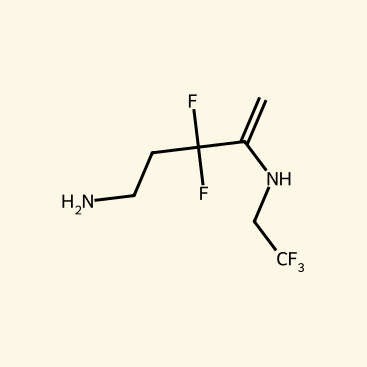 C=C(NCC(F)(F)F)C(F)(F)CCN